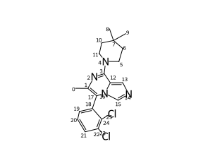 Cc1nc(N2CCC(C)(C)CC2)c2cncn2c1-c1cccc(Cl)c1Cl